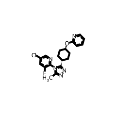 Cc1nnc([C@H]2CC[C@H](Oc3ccccn3)CC2)n1-c1ncc(Cl)cc1F